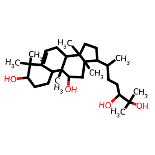 CC(CCC(O)C(C)(C)O)C1CCC2(C)C3CC=C4C(CCC(O)C4(C)C)C3(C)C(O)CC12C